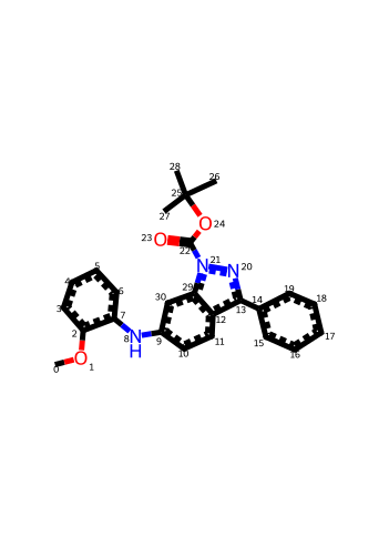 COc1ccccc1Nc1ccc2c(-c3ccccc3)nn(C(=O)OC(C)(C)C)c2c1